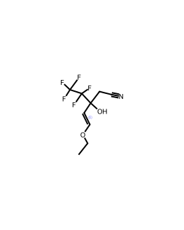 CCO/C=C/C(O)(CC#N)C(F)(F)C(F)(F)F